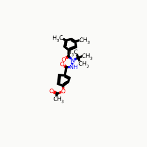 CC(=O)Oc1ccc(C(=O)NN(C(=O)c2cc(C)cc(C)c2)C(C)(C)C)cc1